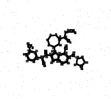 C=CC(=O)N1CCCCC(n2c(NC(=O)c3ccnc(C(F)(F)F)c3)nc3ccc(O[C@@H]4CCOC4)c(Cl)c32)C1